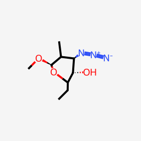 CCC1O[C@@H](OC)C(C)[C@@H](N=[N+]=[N-])[C@@H]1O